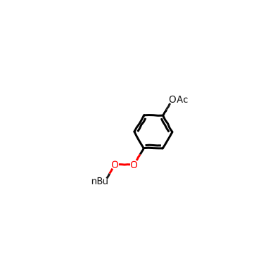 CCCCOOc1ccc(OC(C)=O)cc1